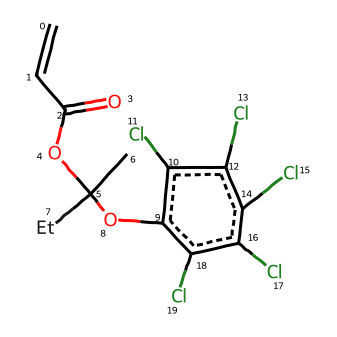 C=CC(=O)OC(C)(CC)Oc1c(Cl)c(Cl)c(Cl)c(Cl)c1Cl